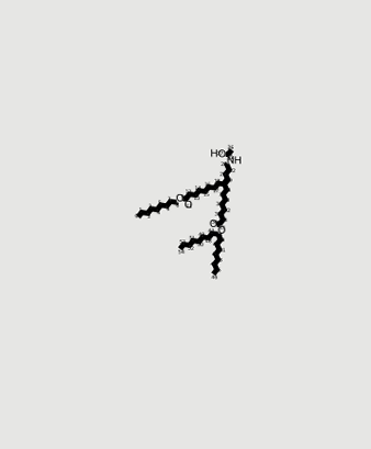 CCCCCCCCCOC(=O)CCCCCCC/C(=C\CCCNC(C)O)CCCCCCCC(=O)OC(CCCCCCCC)CCCCCCCC